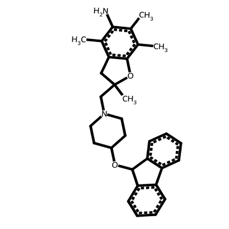 Cc1c(C)c2c(c(C)c1N)CC(C)(CN1CCC(OC3c4ccccc4-c4ccccc43)CC1)O2